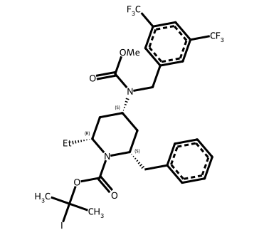 CC[C@@H]1C[C@H](N(Cc2cc(C(F)(F)F)cc(C(F)(F)F)c2)C(=O)OC)C[C@H](Cc2ccccc2)N1C(=O)OC(C)(C)I